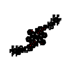 COc1ccc2sc(/C(C#N)=c3\c4c(-c5ccc(OCCCCC(=O)NS(=O)(=O)c6c(F)c(F)c(F)c(F)c6F)cc5)n(B(c5ccccc5)c5ccccc5)/c(=C(\C#N)c5nc6cc(OC)ccc6s5)c4c(-c4ccc(OCCCCC(=O)NSc5c(F)c(F)c(F)c(F)c5F)cc4)n3B(c3ccccc3)c3ccccc3)nc2c1